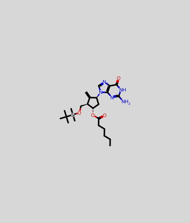 C=C1[C@H](CO[Si](C)(C)C(C)(C)C)[C@@H](OC(=O)CCCCC)C[C@@H]1n1cnc2c(=O)[nH]c(N)nc21